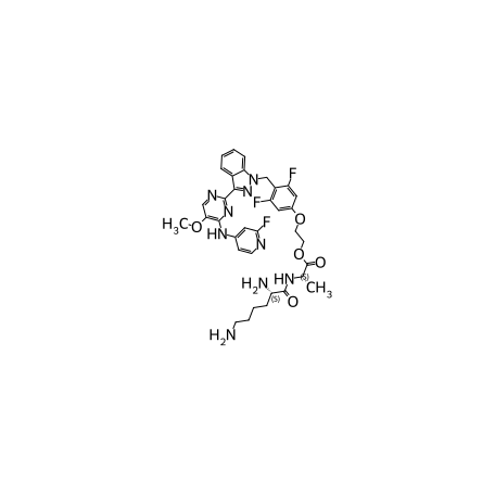 COc1cnc(-c2nn(Cc3c(F)cc(OCCOC(=O)[C@H](C)NC(=O)[C@@H](N)CCCCN)cc3F)c3ccccc23)nc1Nc1ccnc(F)c1